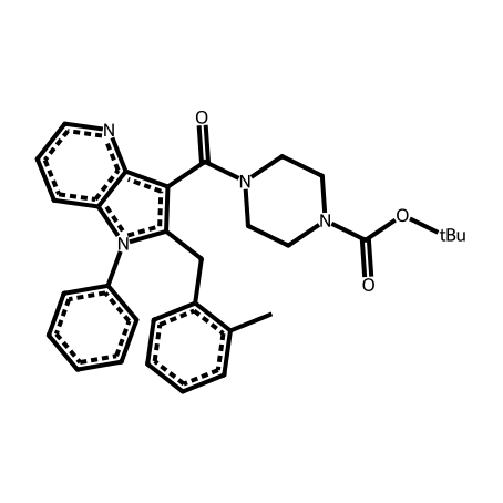 Cc1ccccc1Cc1c(C(=O)N2CCN(C(=O)OC(C)(C)C)CC2)c2ncccc2n1-c1ccccc1